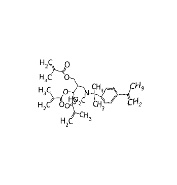 C=C(C)C(=O)OCC(CN(C(=O)O)C(C)(C)c1ccc(C(=C)C)cc1)C(OC(=O)C(=C)C)OC(=O)C(=C)C